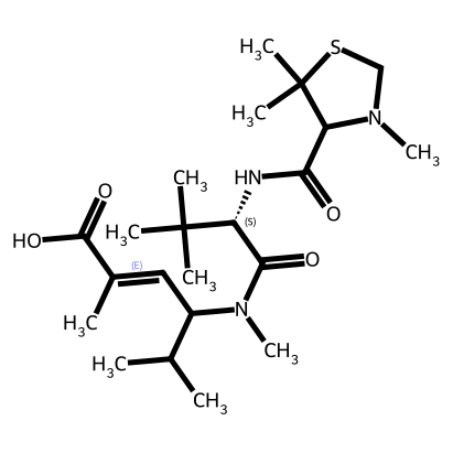 C/C(=C\C(C(C)C)N(C)C(=O)[C@@H](NC(=O)C1N(C)CSC1(C)C)C(C)(C)C)C(=O)O